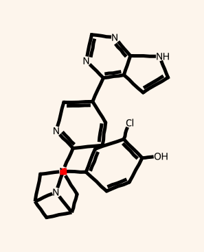 Oc1ccc(CN2C3CC2CN(c2ccc(-c4ncnc5[nH]ccc45)cn2)C3)cc1Cl